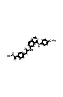 COc1ccc(Nc2ncnc3ccc(NC(=O)Cc4ccc(C(=O)NO)cc4)cc23)cc1